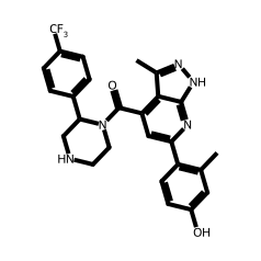 Cc1cc(O)ccc1-c1cc(C(=O)N2CCNCC2c2ccc(C(F)(F)F)cc2)c2c(C)n[nH]c2n1